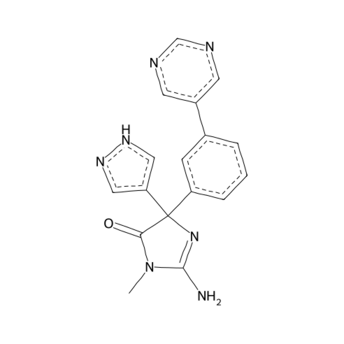 CN1C(=O)C(c2cn[nH]c2)(c2cccc(-c3cncnc3)c2)N=C1N